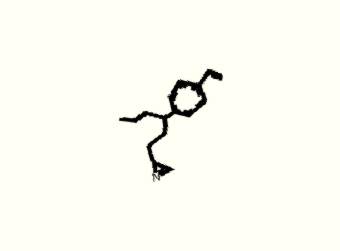 C=Cc1ccc(C(CCC)CCC2C=N2)cc1